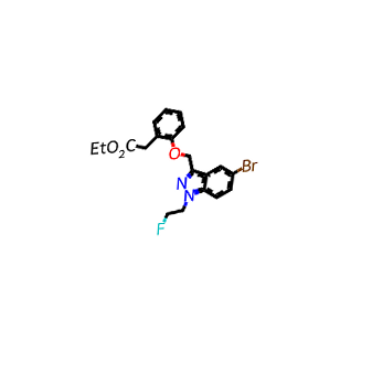 CCOC(=O)Cc1ccccc1OCc1nn(CCF)c2ccc(Br)cc12